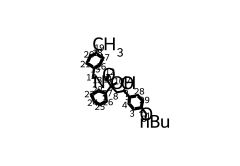 CCCCOc1ccc(C(=O)CC2(O)C(=O)N(Cc3ccc(C)cc3)c3ccccc32)cc1